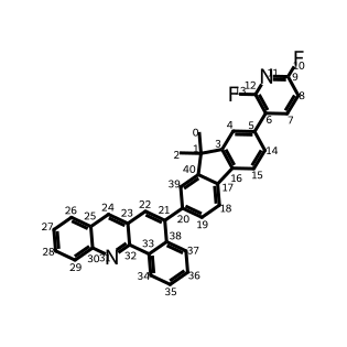 CC1(C)c2cc(-c3ccc(F)nc3F)ccc2-c2ccc(-c3cc4cc5ccccc5nc4c4ccccc34)cc21